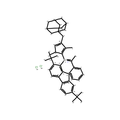 CC1=[C](/[Zr+2](=[C](\C)c2ccccc2)[c]2c(C(C)(C)C)ccc3c2Cc2cc(C(C)(C)C)ccc2-3)C(C)C=C1CC12CC3CC(CC(C3)C1)C2.[Cl-].[Cl-]